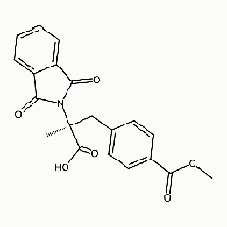 COC(=O)c1ccc(C[C@@](C)(C(=O)O)N2C(=O)c3ccccc3C2=O)cc1